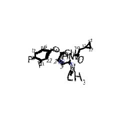 C=C(/C=C\C(=N/C)NC(=O)CC1CC1)Oc1ccc(F)c(F)c1